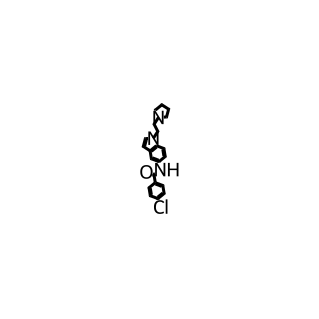 O=C(Nc1ccc2c(ccn2CCN2CCCC2)c1)c1ccc(Cl)cc1